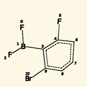 FB(F)c1c(F)cccc1Br